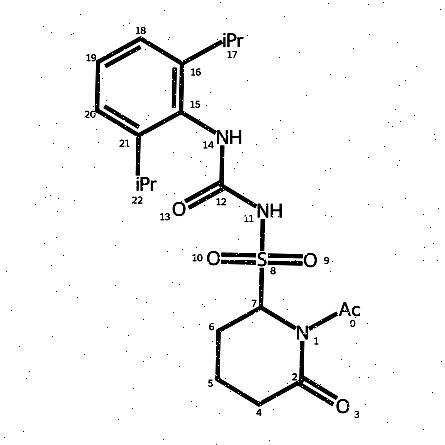 CC(=O)N1C(=O)CCCC1S(=O)(=O)NC(=O)Nc1c(C(C)C)cccc1C(C)C